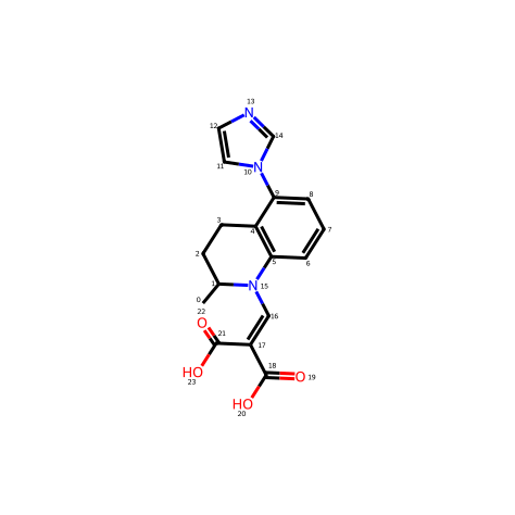 CC1CCc2c(cccc2-n2ccnc2)N1C=C(C(=O)O)C(=O)O